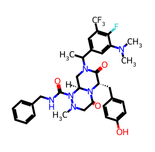 CC(c1cc(N(C)C)c(F)c(C(F)(F)F)c1)N1C[C@H]2N(C(=O)CN(C)N2C(=O)NCc2ccccc2)[C@@H](Cc2ccc(O)cc2)C1=O